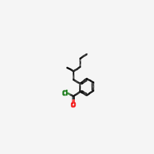 CCCC(C)Cc1ccccc1C(=O)Cl